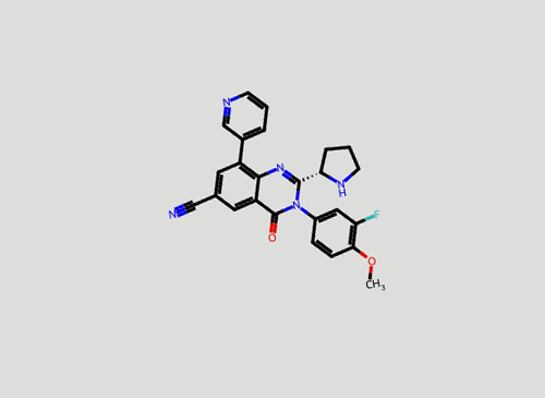 COc1ccc(-n2c([C@@H]3CCCN3)nc3c(-c4cccnc4)cc(C#N)cc3c2=O)cc1F